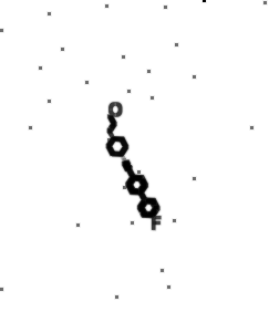 O=CCC[C@H]1CC[C@H](C#Cc2ccc(-c3ccc(F)cc3)cc2)CC1